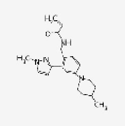 C=CC(=O)NCc1ccc(N2CCC(C)CC2)cc1-c1ccn(C)n1